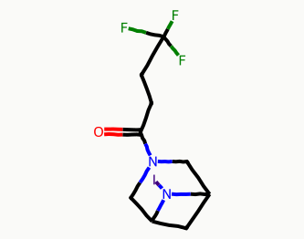 O=C(CCC(F)(F)F)N1CC2CC(C1)N2I